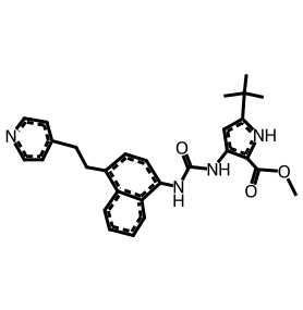 COC(=O)c1[nH]c(C(C)(C)C)cc1NC(=O)Nc1ccc(CCc2ccncc2)c2ccccc12